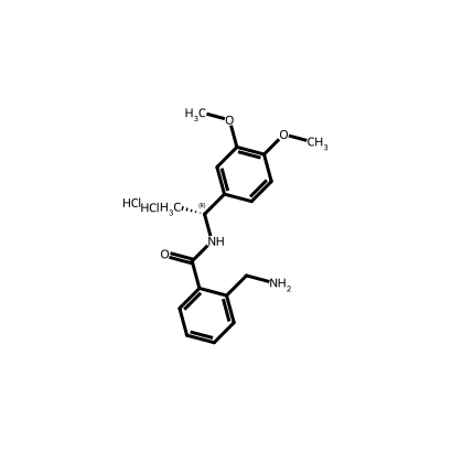 COc1ccc([C@@H](C)NC(=O)c2ccccc2CN)cc1OC.Cl.Cl